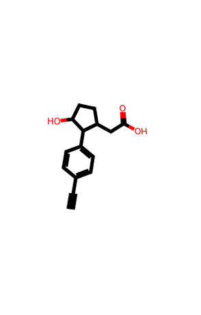 C#Cc1ccc(C2C(O)CCC2CC(=O)O)cc1